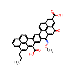 CCCc1cc2c(C(=O)O)c3cc4/c(=N\OC)c5cc(=O)c6cc(C(=O)O)cc7ccc(c-5c76)c4cc3c3ccc4cccc1c4c23